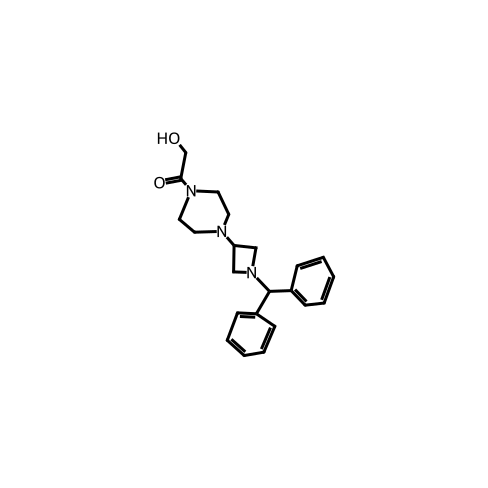 O=C(CO)N1CCN(C2CN(C(c3ccccc3)c3ccccc3)C2)CC1